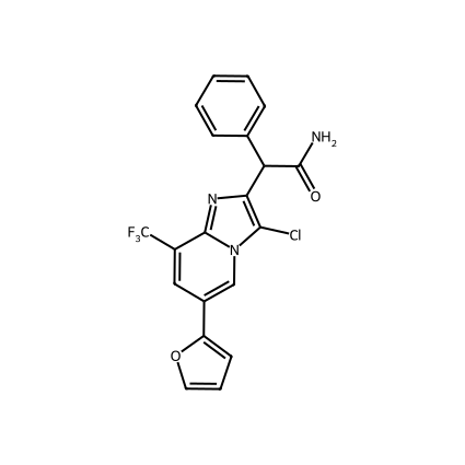 NC(=O)C(c1ccccc1)c1nc2c(C(F)(F)F)cc(-c3ccco3)cn2c1Cl